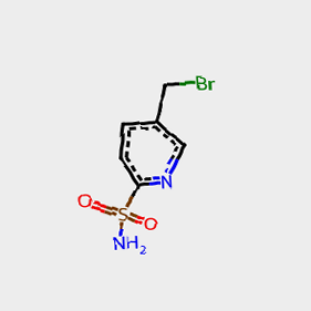 NS(=O)(=O)c1ccc(CBr)cn1